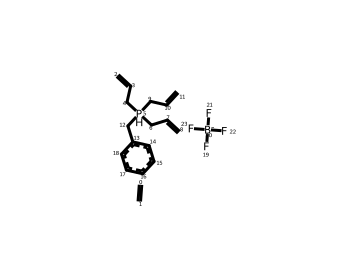 C=C.C=CC[PH](CC=C)(CC=C)Cc1ccccc1.F[B-](F)(F)F